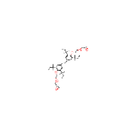 CCC(C)(C)c1cc(CCc2cc(C(C)(C)CC)c(OCCOCC3CO3)c(C(C)(C)CC)c2)cc(C(C)(C)CC)c1OCCOCC1CO1